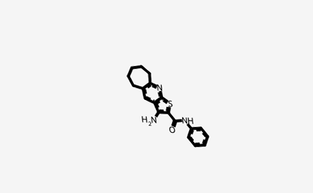 Nc1c(C(=O)Nc2ccccc2)sc2nc3c(cc12)CCCCC3